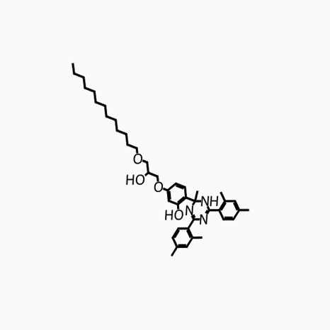 CCCCCCCCCCCCCOCC(O)COc1ccc(C2(C)N=C(c3ccc(C)cc3C)N=C(c3ccc(C)cc3C)N2)c(O)c1